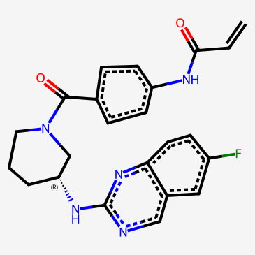 C=CC(=O)Nc1ccc(C(=O)N2CCC[C@@H](Nc3ncc4cc(F)ccc4n3)C2)cc1